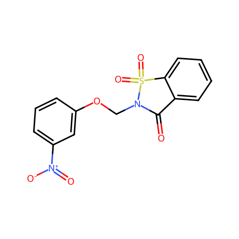 O=C1c2ccccc2S(=O)(=O)N1COc1cccc([N+](=O)[O-])c1